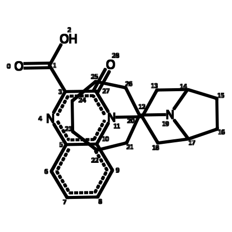 O=C(O)c1nc2ccccc2n(C2CC3CCC(C2)N3C2CCCCCC2)c1=O